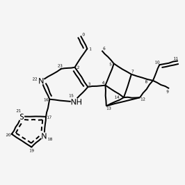 C=CC1=C(C23C(C)C4C(C)(C=C)C5C2C453)NC(c2nccs2)=NC1